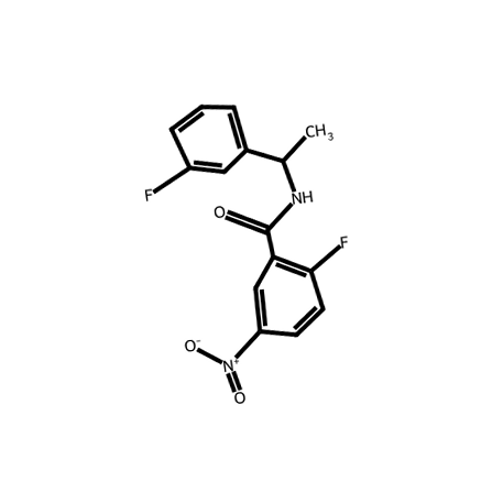 CC(NC(=O)c1cc([N+](=O)[O-])ccc1F)c1cccc(F)c1